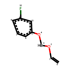 C=COBOc1cccc(F)c1